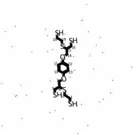 SCCSC(CS)COc1ccc(OCC(CS)SCCS)cc1